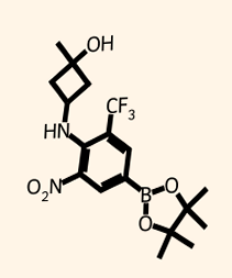 CC1(O)CC(Nc2c([N+](=O)[O-])cc(B3OC(C)(C)C(C)(C)O3)cc2C(F)(F)F)C1